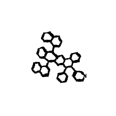 c1ccc(-c2c(-c3cccnc3)c3ccccc3c3cc4c(-c5cccc6ccccc56)c5ccccc5c(-c5cccc6ccccc56)c4cc23)cc1